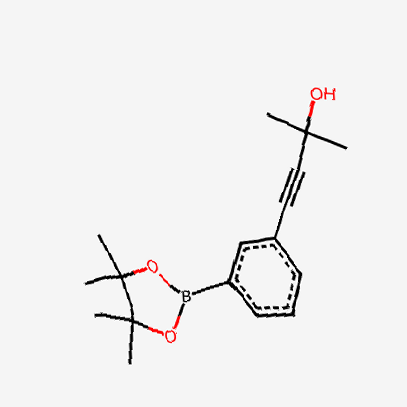 CC(C)(O)C#Cc1cccc(B2OC(C)(C)C(C)(C)O2)c1